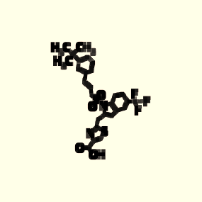 CC(C)(C)c1cccc(C=CCS(=O)(=O)n2c(Cc3nc(C(=O)O)cs3)cc3cc(C(F)(F)F)ccc32)c1